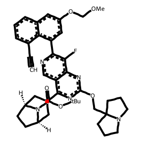 C#Cc1cccc2cc(OCOC)cc(-c3ncc4c(N5C[C@H]6CC[C@@H](C5)N6C(=O)OC(C)(C)C)nc(OCC56CCCN5CCC6)nc4c3F)c12